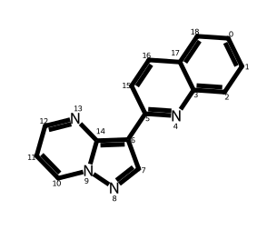 c1ccc2nc(-c3cnn4cccnc34)ccc2c1